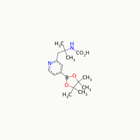 CC(C)(Cc1cc(B2OC(C)(C)C(C)(C)O2)ccn1)NC(=O)O